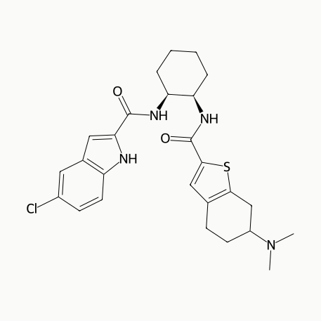 CN(C)C1CCc2cc(C(=O)N[C@@H]3CCCC[C@@H]3NC(=O)c3cc4cc(Cl)ccc4[nH]3)sc2C1